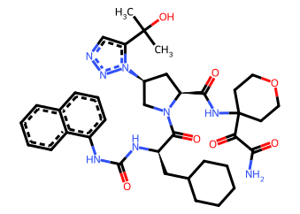 CC(C)(O)c1cnnn1[C@H]1C[C@@H](C(=O)NC2(C(=O)C(N)=O)CCOCC2)N(C(=O)[C@@H](CC2CCCCC2)NC(=O)Nc2cccc3ccccc23)C1